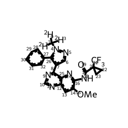 [2H]C([2H])([2H])n1ncc(-c2ncnc3cc(OC)c(NC(=O)C4(C(F)(F)F)CC4)nc23)c1-c1ccccc1